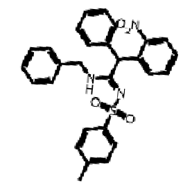 Cc1ccc(S(=O)(=O)N=C(NCc2ccccc2)C(c2ccccc2)c2ccccc2[N+](=O)[O-])cc1